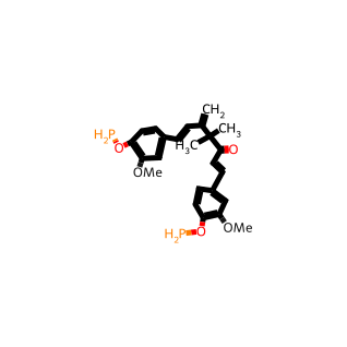 C=C(/C=C/c1ccc(OP)c(OC)c1)C(C)(C)C(=O)/C=C/c1ccc(OP)c(OC)c1